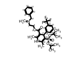 CC1=C(C(=O)OCCN(C)Cc2ccccc2)C(c2cccc(C(F)(F)F)c2)C(P(=O)(OC(C)C)OC(C)C)=C(C)N1